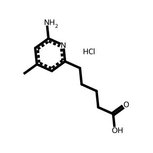 Cc1cc(N)nc(CCCCC(=O)O)c1.Cl